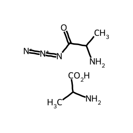 CC(N)C(=O)N=[N+]=[N-].CC(N)C(=O)O